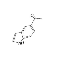 CC(=O)c1ccc2[nH]ccc2c1